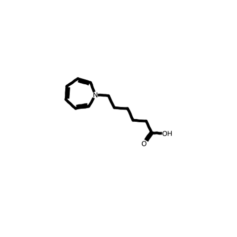 O=C(O)CCCCCN1C=CC=CC=C1